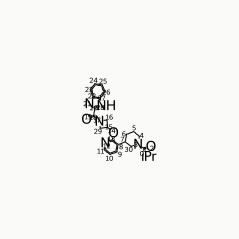 CC(C)C(=O)N1CCCC(c2cccnc2OC2CN(C(=O)c3nc4ccccc4[nH]3)C2)C1